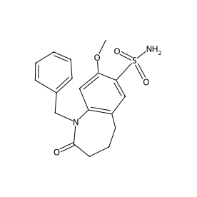 COc1cc2c(cc1S(N)(=O)=O)CCCC(=O)N2Cc1ccccc1